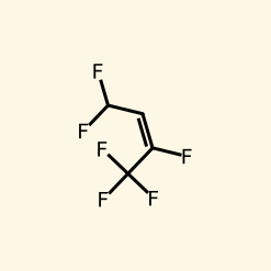 F/C(=C/C(F)F)C(F)(F)F